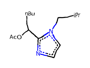 CCCCC(OC(C)=O)c1nccn1CC(C)C